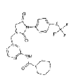 O=C(Nc1cc(CN2CC(=O)N(c3ccc(SC(F)(F)F)cc3)C2=O)ccn1)C1CCCCC1